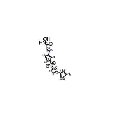 Cc1nc(-c2ccc(S(=O)(=O)n3ccc(/C=C/C(=O)NO)c3)s2)cs1